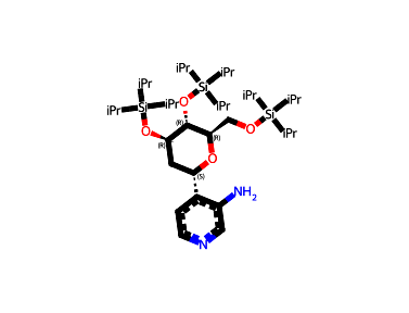 CC(C)[Si](OC[C@H]1O[C@H](c2ccncc2N)C[C@@H](O[Si](C(C)C)(C(C)C)C(C)C)[C@@H]1O[Si](C(C)C)(C(C)C)C(C)C)(C(C)C)C(C)C